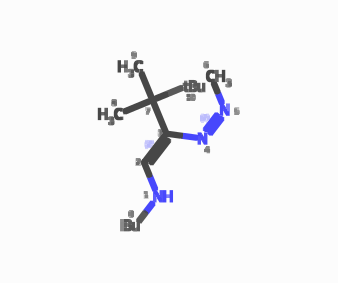 CCC(C)N/C=C(\N=N/C)C(C)(C)C(C)(C)C